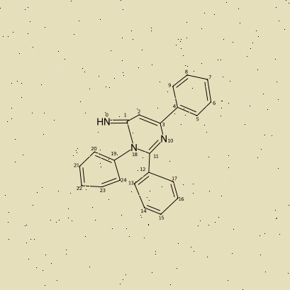 N=c1cc(-c2ccccc2)nc(-c2ccccc2)n1-c1ccccc1